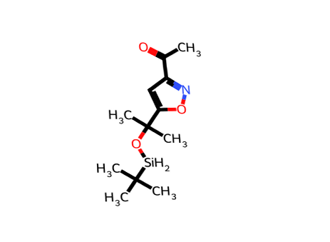 CC(=O)c1cc(C(C)(C)O[SiH2]C(C)(C)C)on1